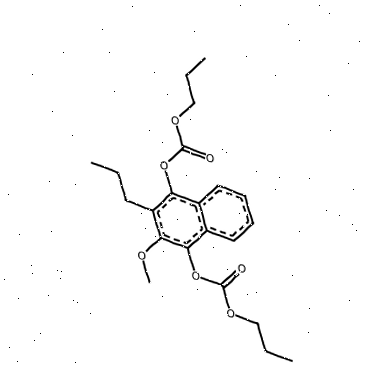 CCCOC(=O)Oc1c(CCC)c(OC)c(OC(=O)OCCC)c2ccccc12